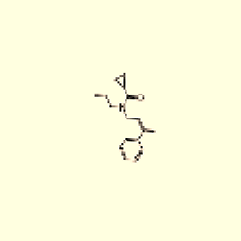 C=CCN(C/C=C(/C)c1ccccc1)C(=O)C1CC1